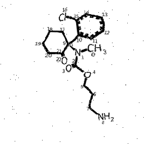 CN(C(=O)OCCCN)[C@]1(c2ccccc2Cl)CCCCC1=O